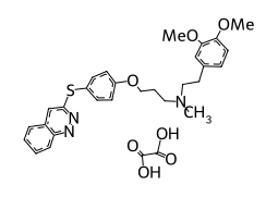 COc1ccc(CCN(C)CCCOc2ccc(Sc3cc4ccccc4nn3)cc2)cc1OC.O=C(O)C(=O)O